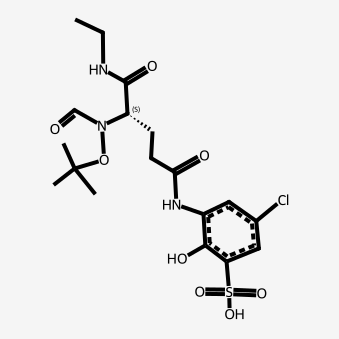 CCNC(=O)[C@H](CCC(=O)Nc1cc(Cl)cc(S(=O)(=O)O)c1O)N(C=O)OC(C)(C)C